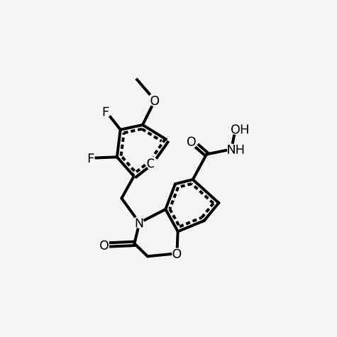 COc1ccc(CN2C(=O)COc3ccc(C(=O)NO)cc32)c(F)c1F